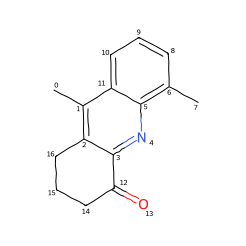 Cc1c2c(nc3c(C)cccc13)C(=O)CCC2